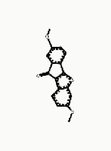 COc1ccc2c(c1)C(=O)c1c-2sc2cc(OC)ccc12